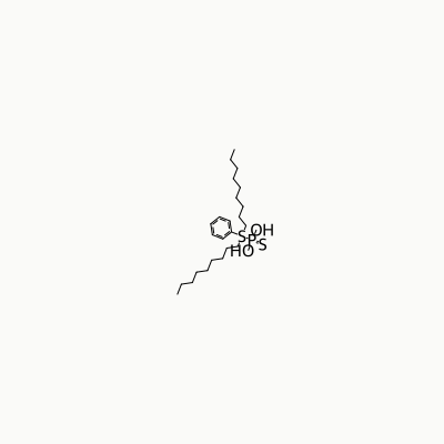 CCCCCCCCCS(CCCCCCCCC)(c1ccccc1)P(O)(O)=S